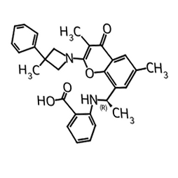 Cc1cc([C@@H](C)Nc2ccccc2C(=O)O)c2oc(N3CC(C)(c4ccccc4)C3)c(C)c(=O)c2c1